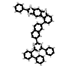 c1ccc(-c2nc(-c3ccc4ccc(-c5cccc6oc7cc8nc(-c9ccccc9)oc8cc7c56)cc4c3)nc(-c3ccccc3-c3ccccc3)n2)cc1